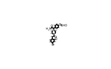 NC(=O)C(c1ccc(OC=O)cc1)N1CCN(C(=O)Cc2ccc(Br)cc2Cl)CC1